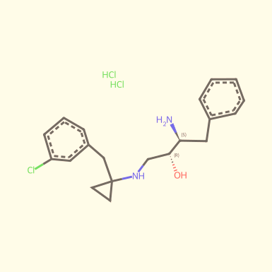 Cl.Cl.N[C@@H](Cc1ccccc1)[C@H](O)CNC1(Cc2cccc(Cl)c2)CC1